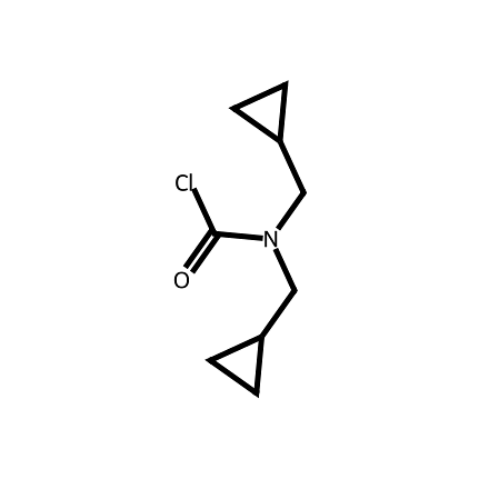 O=C(Cl)N(CC1CC1)CC1CC1